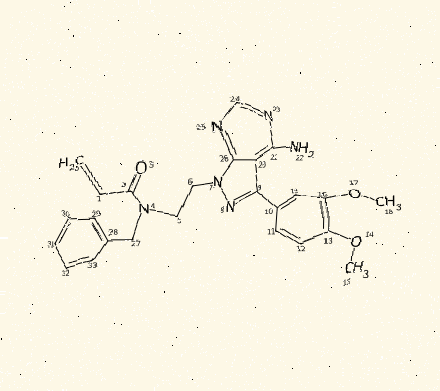 C=CC(=O)N(CCn1nc(-c2ccc(OC)c(OC)c2)c2c(N)ncnc21)Cc1ccccc1